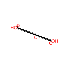 O=C(O)CCCCCCCCCCCCC(=O)CCCCCCCCCC(=O)O